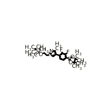 Cc1nn(CCO[Si](C)(C)C(C)(C)C)cc1-c1ccc(B2OC(C)(C)C(C)(C)O2)c(F)c1F